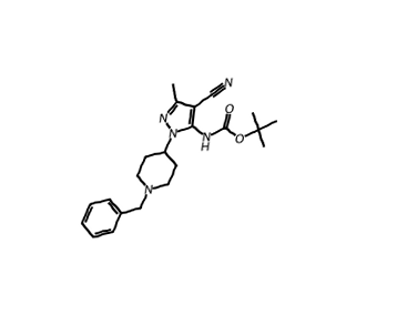 Cc1nn(C2CCN(Cc3ccccc3)CC2)c(NC(=O)OC(C)(C)C)c1C#N